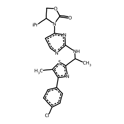 Cc1sc(C(C)Nc2nccc(N3C(=O)OCC3C(C)C)n2)nc1-c1ccc(Cl)cc1